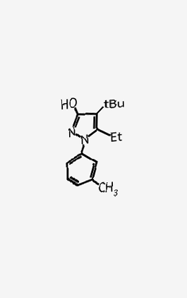 CCc1c(C(C)(C)C)c(O)nn1-c1cccc(C)c1